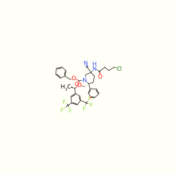 C[C@@H](OC[C@@]1(c2ccccc2)CCC(C#N)(NC(=O)CCCCl)CN1C(=O)OCc1ccccc1)c1cc(C(F)(F)F)cc(C(F)(F)F)c1